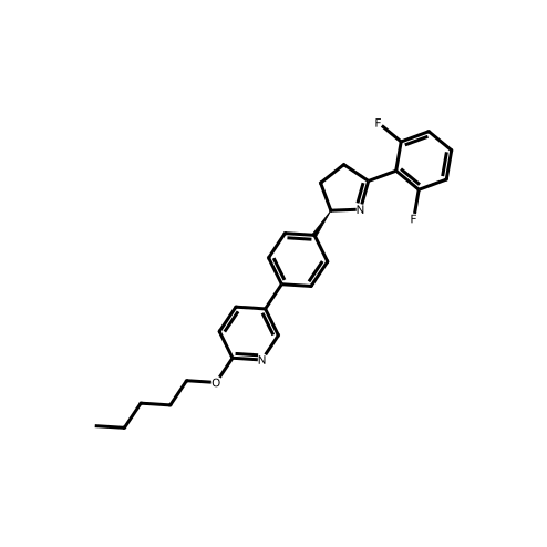 CCCCCOc1ccc(-c2ccc([C@H]3CCC(c4c(F)cccc4F)=N3)cc2)cn1